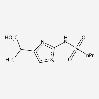 CCCS(=O)(=O)Nc1nc(C(C)C(=O)O)cs1